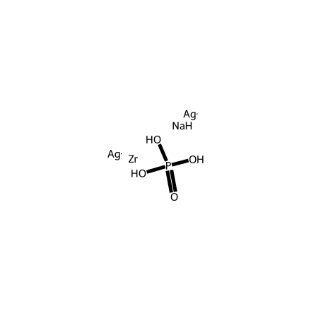 O=P(O)(O)O.[Ag].[Ag].[NaH].[Zr]